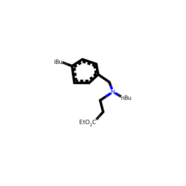 CCCCN(CCC(=O)OCC)Cc1ccc(C(C)CC)cc1